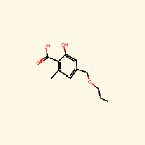 CCCOCc1cc(C)c(C(=O)O)c(O)c1